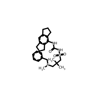 CN(Cc1ccccc1)CC(C)(C)CS(=O)(=O)NC(=O)Nc1c2c(cc3c1CCC3)CCC2